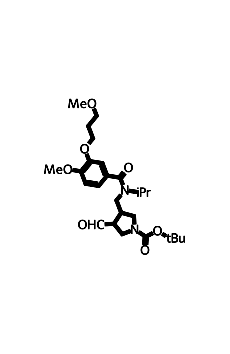 COCCCOc1cc(C(=O)N(CC2CN(C(=O)OC(C)(C)C)CC2C=O)C(C)C)ccc1OC